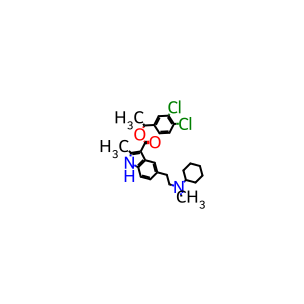 Cc1[nH]c2ccc(CCN(C)C3CCCCC3)cc2c1C(=O)OC(C)c1ccc(Cl)c(Cl)c1